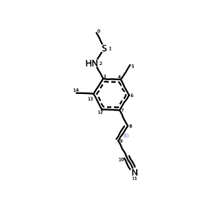 CSNc1c(C)cc(/C=C/C#N)cc1C